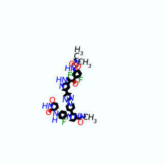 CCN(C)S(=O)(=O)Nc1ccc(F)c(C(=O)c2c[nH]c3ncc(-c4cnc(N5CCC(C6CC(C(=O)NC)CCN6c6ccc(NC7CCC(=O)NC7=O)cc6F)CC5)nc4)cc23)c1F